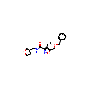 Cc1c(C(=O)NCC2CCOC2)noc1COCc1ccccc1